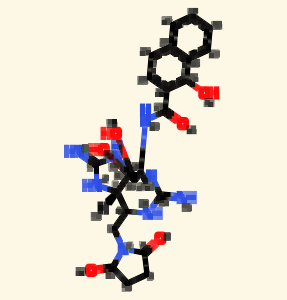 N=C1N[C@H]2C(CN3C(=O)CCC3=O)NC(=N)N3CC(NC(=O)c4ccc5ccccc5c4O)C(O)(O)[C@]23N1